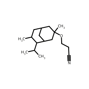 CC(C)C1C(C)CC2CC1CC(C)(OCCC#N)C2